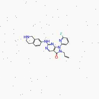 C=CCn1c(=O)c2cnc(Nc3ccc4c(c3)CNCC4)nc2n1-c1cccc(F)n1